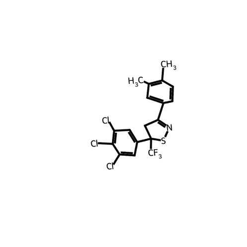 Cc1ccc(C2=NSC(c3cc(Cl)c(Cl)c(Cl)c3)(C(F)(F)F)C2)cc1C